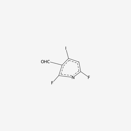 O=Cc1c(I)cc(F)nc1F